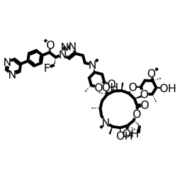 CC[C@H]1OC(=O)[C@H](C)[C@@H](O[C@H]2C[C@@](C)(OC)[C@@H](O)[C@H](C)O2)[C@H](C)[C@@H](O[C@H]2C[C@@H](N(C)CCc3cn([C@H](CF)[C@H](OC)c4ccc(-c5cncnc5)cc4)nn3)C[C@@H](C)O2)[C@](C)(O)C[C@@H](C)CN(C)[C@H](C)[C@@H](O)[C@]1(C)O